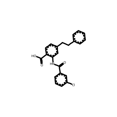 O=C(Nc1cc(CCc2ccccc2)ccc1C(=O)O)c1cccc(Cl)c1